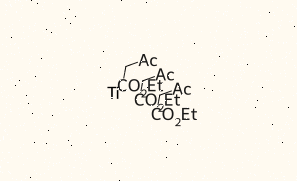 CCOC(=O)CC(C)=O.CCOC(=O)CC(C)=O.CCOC(=O)CC(C)=O.[Ti]